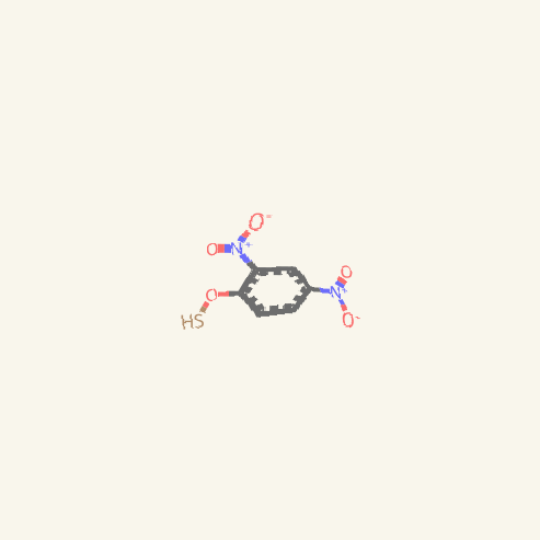 O=[N+]([O-])c1ccc(OS)c([N+](=O)[O-])c1